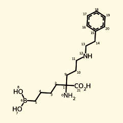 NC(CCCCB(O)O)(CCCNCCc1ccccc1)C(=O)O